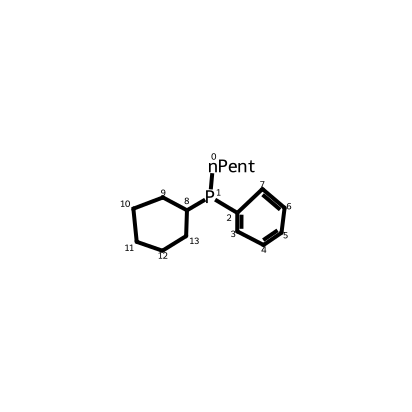 CCCCCP(c1ccccc1)C1CCCCC1